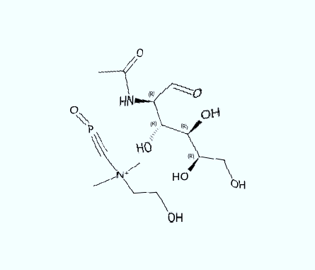 CC(=O)N[C@@H](C=O)[C@@H](O)[C@@H](O)[C@H](O)CO.C[N+](C)(C#P=O)CCO